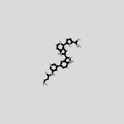 CCCC(=O)Nc1cncc(-c2ccc3[nH]nc(-c4cc5c(-c6ccc(C(C)=O)s6)nccc5[nH]4)c3c2)c1